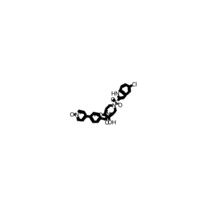 O=C(c1ccc(-c2cc[n+]([O-])cc2)cc1)N1C2CN(S(=O)(=O)c3cc4cc(Cl)ccc4[nH]3)CC1C(O)C2O